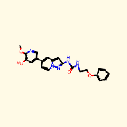 COc1ncc(-c2ccn3nc(NC(=O)NCCOc4ccccc4)cc3c2)cc1O